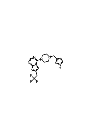 FC(F)(F)Cc1cc2c(N3CCN(Cc4cc[nH]n4)CC3)ncnc2s1